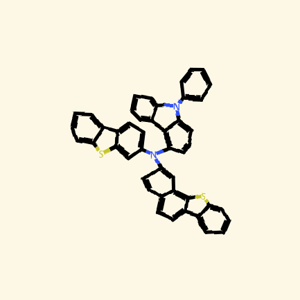 c1ccc(-n2c3ccccc3c3c(N(c4ccc5c(c4)sc4ccccc45)c4ccc5ccc6c7ccccc7sc6c5c4)cccc32)cc1